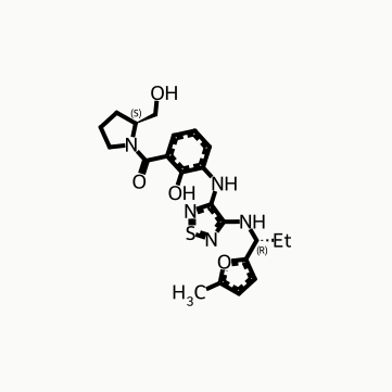 CC[C@@H](Nc1nsnc1Nc1cccc(C(=O)N2CCC[C@H]2CO)c1O)c1ccc(C)o1